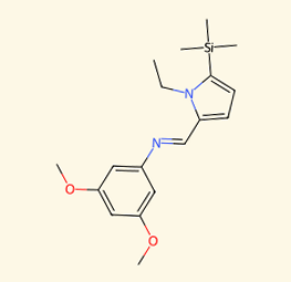 CCn1c(/C=N/c2cc(OC)cc(OC)c2)ccc1[Si](C)(C)C